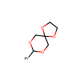 CC(C)C1OCC2(CO1)OCCO2